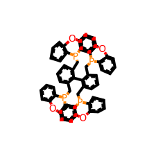 c1cc(CP2c3ccccc3Oc3ccccc32)c(-c2c(CP3c4ccccc4Oc4ccccc43)cccc2CP2c3ccccc3Oc3ccccc32)c(CP2c3ccccc3Oc3ccccc32)c1